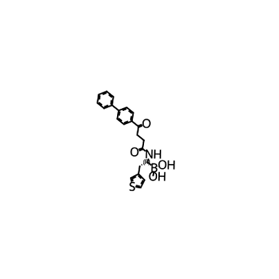 O=C(CCC(=O)c1ccc(-c2ccccc2)cc1)N[C@@H](Cc1ccsc1)B(O)O